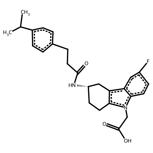 CC(C)c1ccc(CCC(=O)N[C@H]2CCc3c(c4cc(F)ccc4n3CC(=O)O)C2)cc1